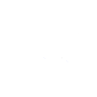 CC(c1ccc(Br)cc1)N1CCC2(CCN(CCC(c3ccccc3)c3ccccc3)CC2)C1=O